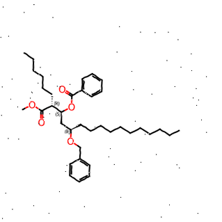 CCCCCCCCCCC[C@H](C[C@H](OC(=O)c1ccccc1)[C@@H](CCCCCC)C(=O)OC)OCc1ccccc1